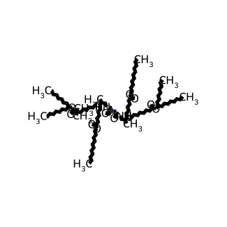 CCCCCCCCCCCOC(=O)CCCCCN(CCCCCCC(C)(C)C(=O)OC(CCCCCCCC)CCCCCCCC)C(C)CNC/C(C=O)=C/C(=O)NCC(C)N(CCCCCCCC(=O)OC(CCCCCCCC)CCCCCCCC)CCCCCC(=O)OCCCCCCCCCCC